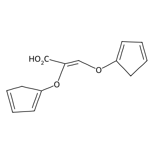 O=C(O)C(=COC1=CC=CC1)OC1=CC=CC1